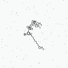 CCCCCCCCCCCC[n+]1cccc(CNC(=O)OCC(CO)OC(=O)C(C)C)c1.[Br-]